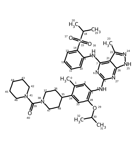 Cc1cc(Nc2nc(Nc3ccccc3S(=O)(=O)C(C)C)c3c(C)n[nH]c3n2)c(OC(C)C)cc1C1CCN(C(=O)N2CCCCC2)CC1